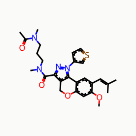 COc1cc2c(cc1C=C(C)C)-c1c(c(C(=O)N(C)CCCN(C)C(C)=O)nn1-c1ccsc1)CO2